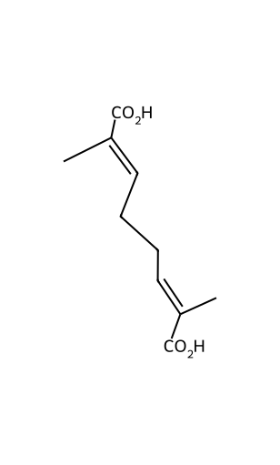 CC(=CCCC=C(C)C(=O)O)C(=O)O